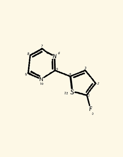 Fc1ccc(-c2ncccn2)s1